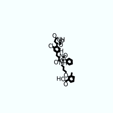 Cc1cccc(C(=O)O)c1OCCCCNC(=O)C(Cc1ccc(C2CC(=O)NS2(=O)=O)c(Cl)c1)NS(=O)(=O)c1ccccc1